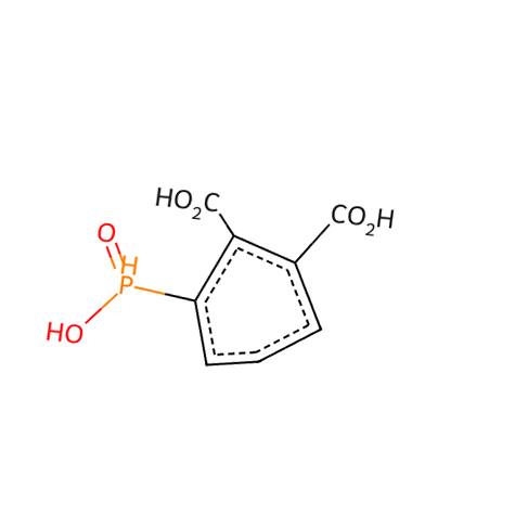 O=C(O)c1cccc([PH](=O)O)c1C(=O)O